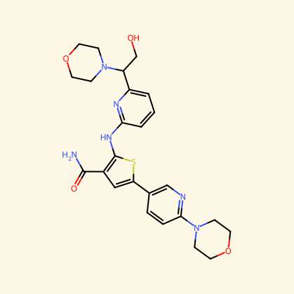 NC(=O)c1cc(-c2ccc(N3CCOCC3)nc2)sc1Nc1cccc(C(CO)N2CCOCC2)n1